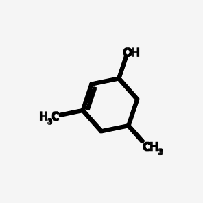 CC1=CC(O)CC(C)C1